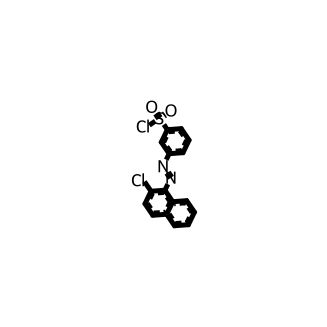 O=S(=O)(Cl)c1cccc(N=Nc2c(Cl)ccc3ccccc23)c1